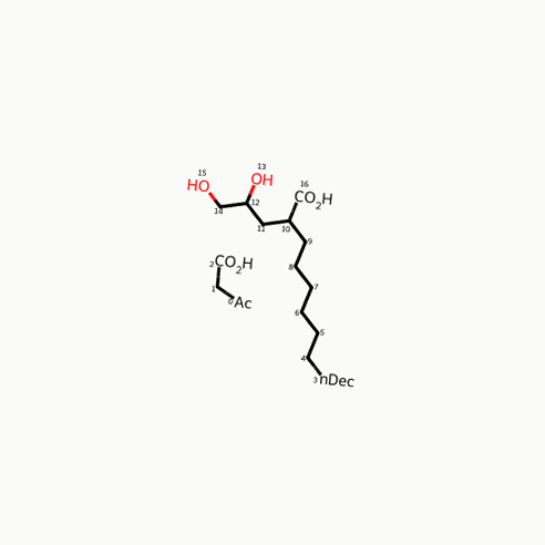 CC(=O)CC(=O)O.CCCCCCCCCCCCCCCCC(CC(O)CO)C(=O)O